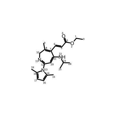 CCOC(=O)/C=C/C1=C(C)CN=C(n2c(C)ccc2C)C=C1NC(C)C